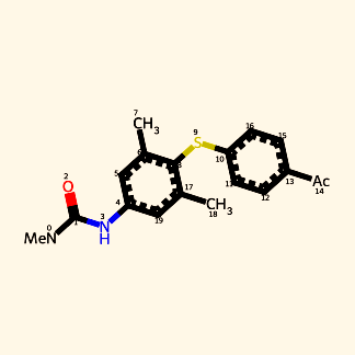 CNC(=O)Nc1cc(C)c(Sc2ccc(C(C)=O)cc2)c(C)c1